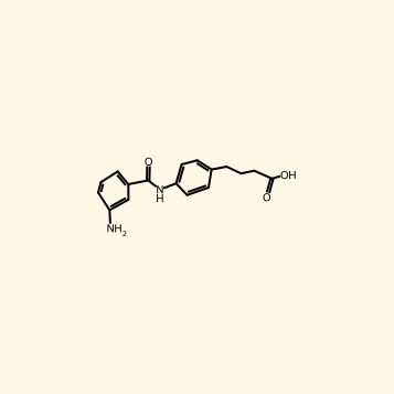 Nc1cccc(C(=O)Nc2ccc(CCCC(=O)O)cc2)c1